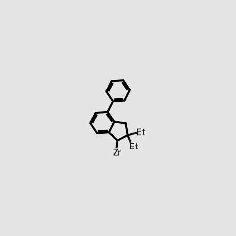 CCC1(CC)Cc2c(-c3ccccc3)cccc2[CH]1[Zr]